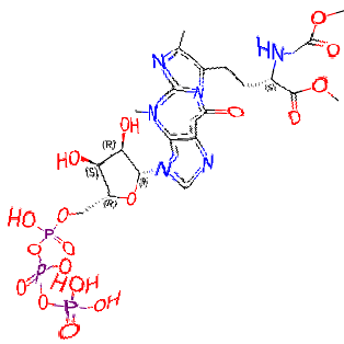 COC(=O)N[C@@H](CCc1c(C)nc2n(C)c3c(ncn3[C@@H]3O[C@H](COP(=O)(O)OP(=O)(O)OP(=O)(O)O)[C@@H](O)[C@H]3O)c(=O)n12)C(=O)OC